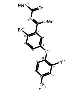 CNC(=O)N=C(OC)c1cc(Oc2ccc(C(F)(F)F)cc2Cl)ccc1Br